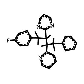 CC(C)(c1ccccc1)C(C)(c1ccccn1)C(C)(c1ncccn1)C(C)(C)c1ccc(F)cc1